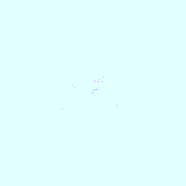 CCCCNC(=O)C(CC(=O)OCc1ccccc1)NC(=O)C(N)CCCCNC(=O)OCc1ccccc1